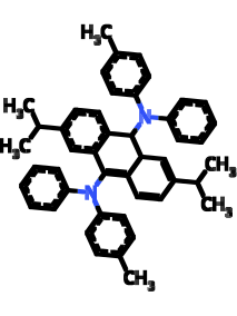 Cc1ccc(N(C2=C3C=CC(C(C)C)=CC3C(N(c3ccccc3)c3ccc(C)cc3)c3ccc(C(C)C)cc32)c2ccccc2)cc1